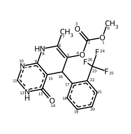 COC(=O)OC1=C(C)Nc2nc[nH]c(=O)c2C1c1ccccc1C(F)(F)F